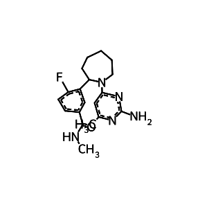 CNC(=O)c1ccc(F)c(C2CCCCCN2c2cc(C)nc(N)n2)c1